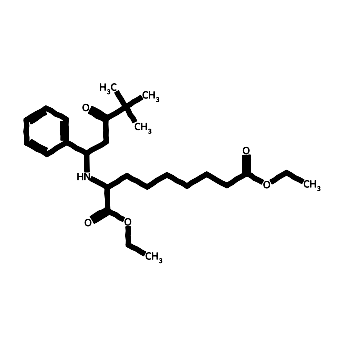 CCOC(=O)CCCCCCC(NC(CC(=O)C(C)(C)C)c1ccccc1)C(=O)OCC